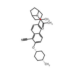 CC(=O)C1CC2CCC(C1)N2C(C)c1ccc2c(C#N)c(O[C@H]3CC[C@@H](C)CC3)ccc2c1